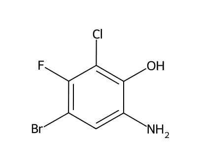 Nc1cc(Br)c(F)c(Cl)c1O